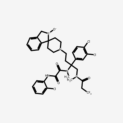 CN(CC(CCN1CCC2(CC1)c1ccccc1C[S+]2[O-])(c1ccc(Cl)c(Cl)c1)N(C)C(=O)C(=O)Nc1ccccc1Cl)C(=O)CC(F)(F)F